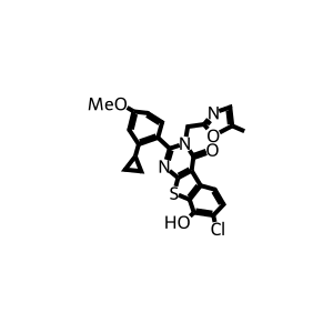 COc1ccc(-c2nc3sc4c(O)c(Cl)ccc4c3c(=O)n2Cc2ncc(C)o2)c(C2CC2)c1